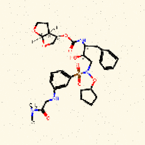 CCN(C)C(=O)CNc1cccc(S(=O)(=O)N(C[C@@H](O)[C@H](Cc2ccccc2)NC(=O)O[C@H]2CO[C@H]3OCC[C@H]32)OC2CCCC2)c1